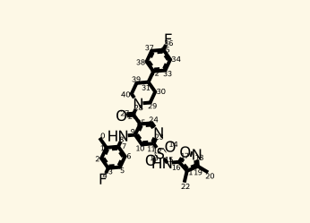 Cc1cc(F)ccc1Nc1cc(S(=O)(=O)Nc2onc(C)c2C)ncc1C(=O)N1CCC(c2ccc(F)cc2)CC1